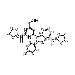 OCc1cc(-c2c(-c3ccc(F)cc3)nn3c(NC4CCCC4)cccc23)nc(NC2CCCC2)n1